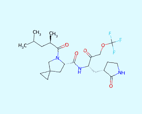 CC(C)C[C@@H](C)C(=O)N1CC2(CC2)C[C@H]1C(=O)N[C@@H](C[C@@H]1CCNC1=O)C(=O)COC(F)(F)F